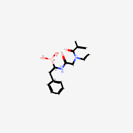 C=C(C)C(=O)N(CC)CC(=O)NC(Cc1ccccc1)B(O)O